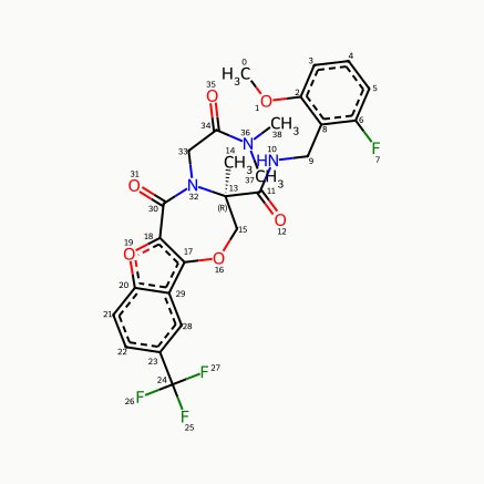 COc1cccc(F)c1CNC(=O)[C@@]1(C)COc2c(oc3ccc(C(F)(F)F)cc23)C(=O)N1CC(=O)N(C)C